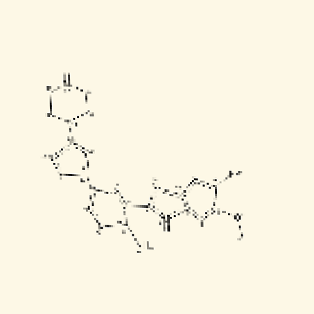 COc1cc2[nH]c(-c3cc(-c4cnn(C5CCNCC5)c4)cnc3N)nc2cc1F